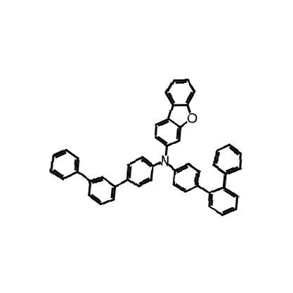 c1ccc(-c2cccc(-c3ccc(N(c4ccc(-c5ccccc5-c5ccccc5)cc4)c4ccc5c(c4)oc4ccccc45)cc3)c2)cc1